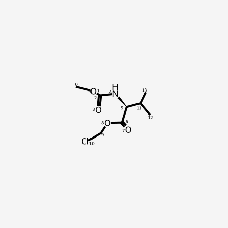 COC(=O)N[C@H](C(=O)OCCl)C(C)C